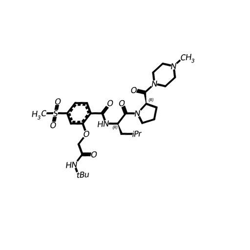 CC(C)C[C@@H](NC(=O)c1ccc(S(C)(=O)=O)cc1OCC(=O)NC(C)(C)C)C(=O)N1CCC[C@@H]1C(=O)N1CCN(C)CC1